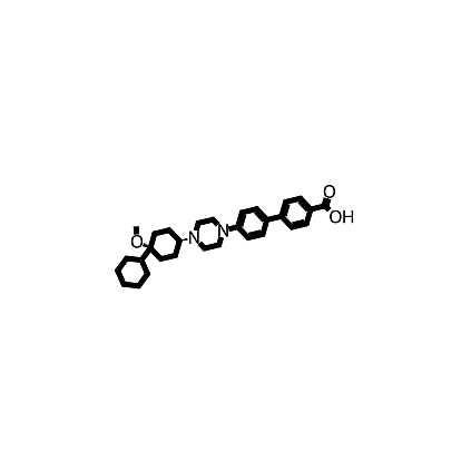 CO[C@]1(C2CCCCC2)CC[C@@H](N2CCN(c3ccc(-c4ccc(C(=O)O)cc4)cc3)CC2)CC1